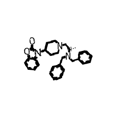 C[C@@H](CN1CCC(n2c(=O)oc3ccccc32)CC1)N(Cc1ccccc1)Cc1ccccc1